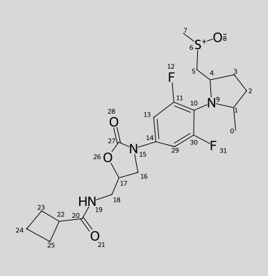 CC1CCC(C[S+](C)[O-])N1c1c(F)cc(N2CC(CNC(=O)C3CCC3)OC2=O)cc1F